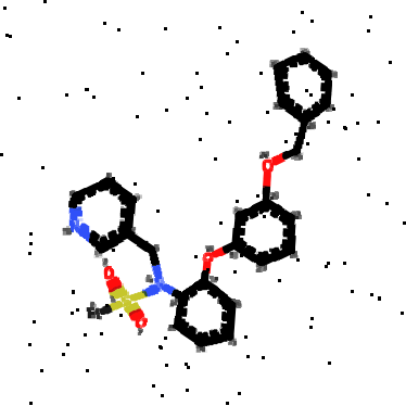 CCS(=O)(=O)N(Cc1cccnc1)c1ccccc1Oc1cccc(OCc2ccccc2)c1